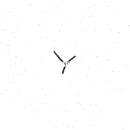 [CH3][Y-2]([CH3])[CH3]